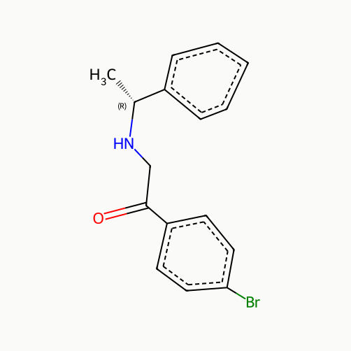 C[C@@H](NCC(=O)c1ccc(Br)cc1)c1ccccc1